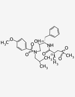 COc1ccc(S(=O)(=O)N(CC(C)C)CC(O)[C@H](Cc2ccccc2)NC(=O)[C@H](C)CS(C)(=O)=O)cc1